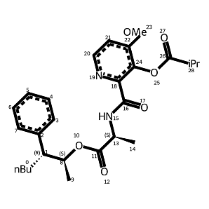 CCCC[C@H](c1ccccc1)[C@H](C)OC(=O)[C@H](C)NC(=O)c1nccc(OC)c1OC(=O)C(C)C